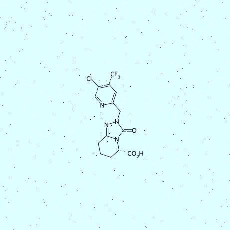 O=C(O)[C@@H]1CCCc2nn(Cc3cc(C(F)(F)F)c(Cl)cn3)c(=O)n21